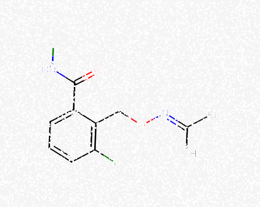 CCC(C)=NOCc1c(Cl)cccc1C(=O)NCl